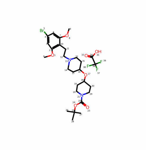 COc1cc(Br)cc(OC)c1CCN1CCC(OC2CCN(C(=O)OC(C)(C)C)CC2)CC1.O=C(O)C(F)(F)F